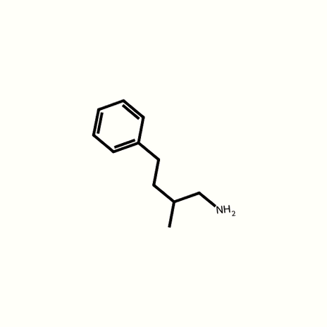 CC(CN)CCc1ccccc1